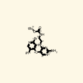 CC(C)c1cnc(Br)cc1Oc1cnc(N)nc1NCCNC(=O)OC(C)(C)C